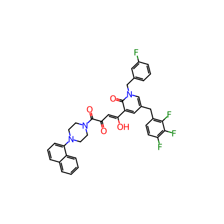 O=C(C=C(O)c1cc(Cc2ccc(F)c(F)c2F)cn(Cc2cccc(F)c2)c1=O)C(=O)N1CCN(c2cccc3ccccc23)CC1